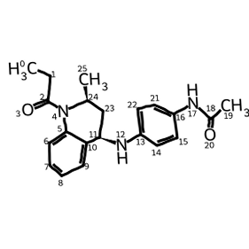 CCC(=O)N1c2ccccc2[C@H](Nc2ccc(NC(C)=O)cc2)C[C@@H]1C